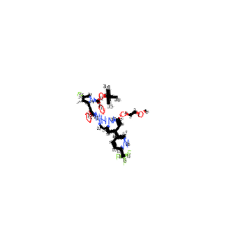 COCCOc1cc(-c2ccc(C(F)(F)F)nc2)cc(CNC(=O)c2cc(F)cn2C(=O)OC(C)(C)C)n1